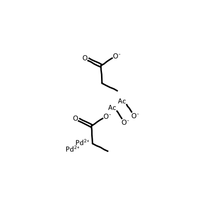 CC(=O)[O-].CC(=O)[O-].CCC(=O)[O-].CCC(=O)[O-].[Pd+2].[Pd+2]